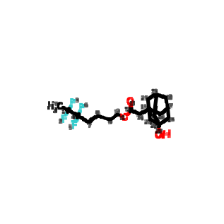 CC(F)(F)C(F)(F)CCCCOC(=O)CC12CC3CC(CC(O)(C3)C1)C2